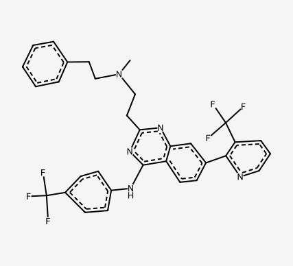 CN(CCc1ccccc1)CCc1nc(Nc2ccc(C(F)(F)F)cc2)c2ccc(-c3ncccc3C(F)(F)F)cc2n1